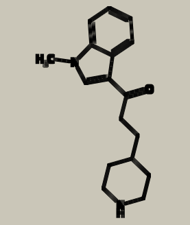 Cn1cc(C(=O)CCC2CCNCC2)c2ccccc21